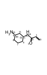 C=CC(=O)N[C@H]1CCC[C@@H](N)C1